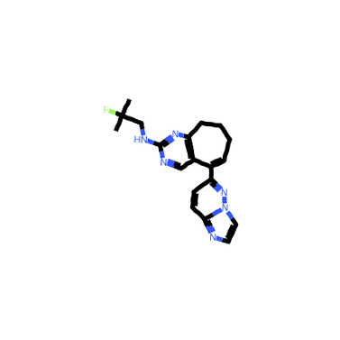 CC(C)(F)CNc1ncc2c(n1)CCCC=C2c1ccc2nccn2n1